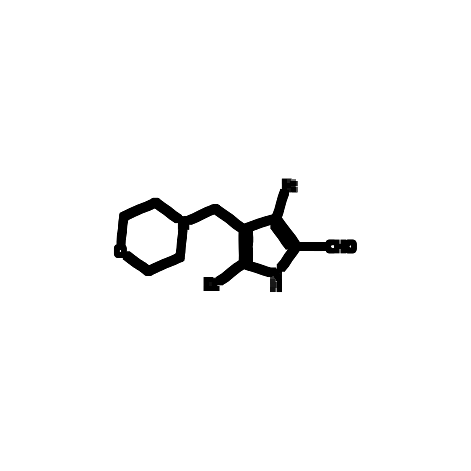 CCc1[nH]c(C=O)c(CC)c1CN1CCOCC1